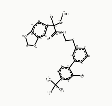 CCCc1cc(C(O)(C(F)(F)F)C(F)(F)F)ccc1-c1cccc(CCNC(=O)C(CC)(NC=O)c2ccc3c(c2)OCO3)c1